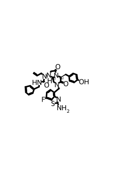 C=CCN(C(=O)NCc1ccccc1)N1CC(=O)N2[C@H]1CN(Cc1ccc(F)c3sc(N)nc13)C(=O)[C@@H]2Cc1ccc(O)cc1